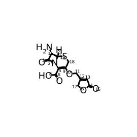 N[C@@H]1C(=O)N2C(C(=O)O)=C(OCC3=CC(=O)OC3)CS[C@@H]12